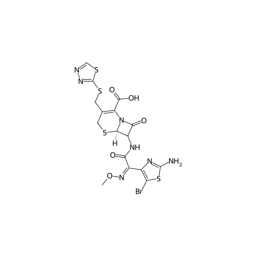 CO/N=C(\C(=O)NC1C(=O)N2C(C(=O)O)=C(CSc3nncs3)CS[C@H]12)c1nc(N)sc1Br